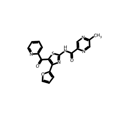 Cc1cnc(C(=O)Nc2nc(-c3ccco3)c(C(=O)c3ccccn3)s2)cn1